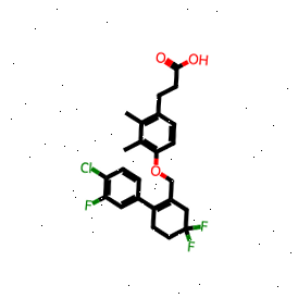 Cc1c(CCC(=O)O)ccc(OCC2=C(c3ccc(Cl)c(F)c3)CCC(F)(F)C2)c1C